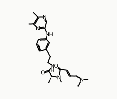 Cc1ncc(Nc2cccc(CCNC(=O)[C@H](C)N(C)C(=O)/C=C/CN(C)C)c2)nc1C